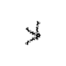 O=C(NCCCCOCC1CO1)c1cccc(OCCCCOCC2CO2)c1OCCCCOCC1CO1